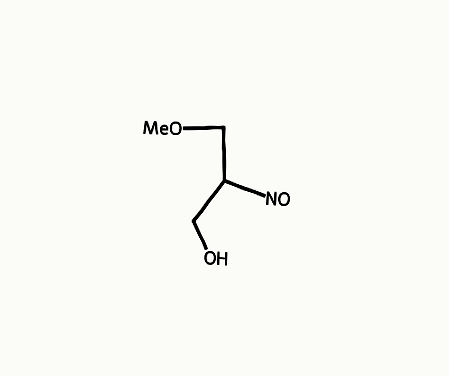 COCC(CO)N=O